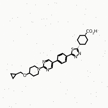 O=C(O)[C@H]1CC[C@H](c2nnc(-c3ccc(-c4cnc(N5CCC(OCC6CC6)CC5)nc4)cc3)s2)CC1